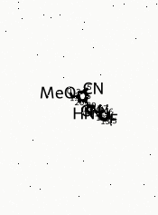 COCc1cc(C#N)cc(C2=CN(c3ccc(F)cn3)NO2)c1